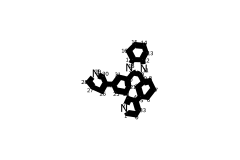 c1cncc(-c2cccc(-c3nc4ccccc4nc3-c3cccc(-c4cccnc4)c3)c2)c1